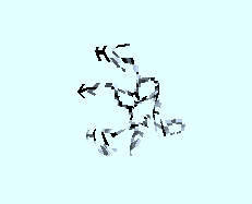 Cc1ccc(F)c2c(C(C)(F)C=O)c[nH]c12